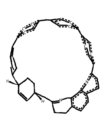 C1=C[C@H]2CC[C@@H]1C1=Nc3c(ccc4ccc(nc34)-c3ccc(cc3)-c3ccc(cc3)-c3ccc(cc3)C3=CC=C2CC3)CC1